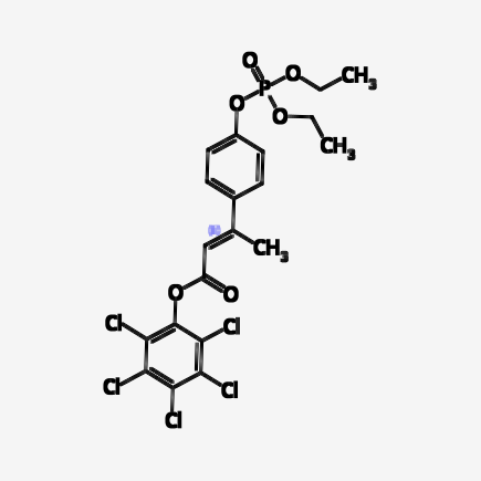 CCOP(=O)(OCC)Oc1ccc(/C(C)=C/C(=O)Oc2c(Cl)c(Cl)c(Cl)c(Cl)c2Cl)cc1